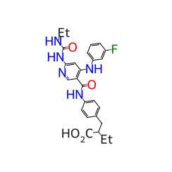 CCNC(=O)Nc1cc(Nc2cccc(F)c2)c(C(=O)Nc2ccc(CC(CC)C(=O)O)cc2)cn1